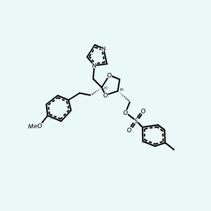 COc1ccc(CC[C@]2(Cn3ccnc3)OC[C@H](COS(=O)(=O)c3ccc(C)cc3)O2)cc1